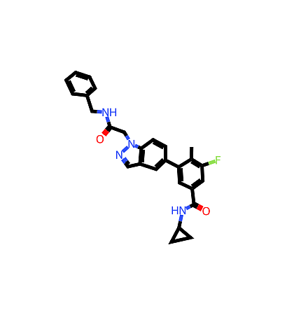 Cc1c(F)cc(C(=O)NC2CC2)cc1-c1ccc2c(cnn2CC(=O)NCc2ccccc2)c1